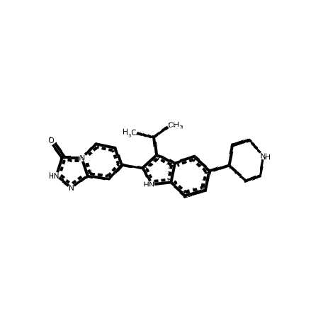 CC(C)c1c(-c2ccn3c(=O)[nH]nc3c2)[nH]c2ccc(C3CCNCC3)cc12